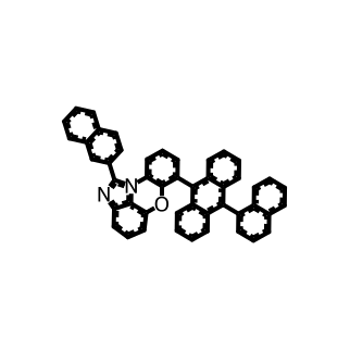 c1cc(-c2c3ccccc3c(-c3cccc4ccccc34)c3ccccc23)c2c(c1)-n1c(-c3ccc4ccccc4c3)nc3cccc(c31)O2